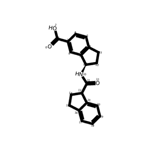 O=C(O)c1ccc2c(c1)[C@H](NC(=O)C1CCc3ccccc31)CC2